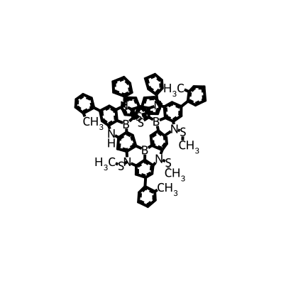 CSN1c2cc3c(cc2B2c4cc5c(cc4N(SC)c4cc(-c6ccccc6C)cc1c42)N(SC)c1cc(-c2ccccc2C)cc2c1B5c1sc4ccccc4c1N2c1ccccc1)B1c2sc4ccccc4c2N(c2ccccc2)c2cc(-c4ccccc4C)cc(c21)N3